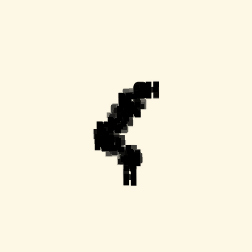 Oc1cnc(N2CCN(c3ncnn4cc(-c5cn[nH]c5)cc34)CC2)nc1